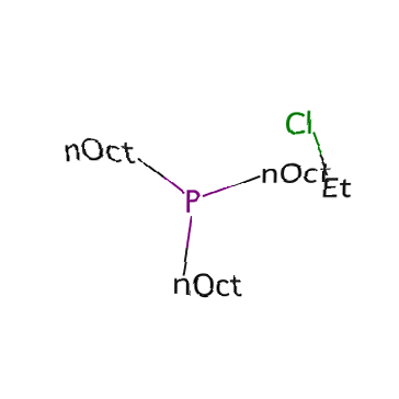 CCCCCCCCP(CCCCCCCC)CCCCCCCC.CCCl